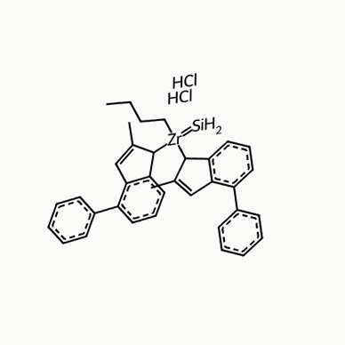 CCC[CH2][Zr](=[SiH2])([CH]1C(C)=Cc2c(-c3ccccc3)cccc21)[CH]1C(C)=Cc2c(-c3ccccc3)cccc21.Cl.Cl